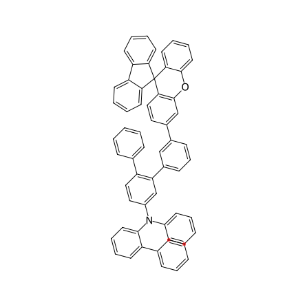 c1ccc(-c2ccc(N(c3ccccc3)c3ccccc3-c3ccccc3)cc2-c2cccc(-c3ccc4c(c3)Oc3ccccc3C43c4ccccc4-c4ccccc43)c2)cc1